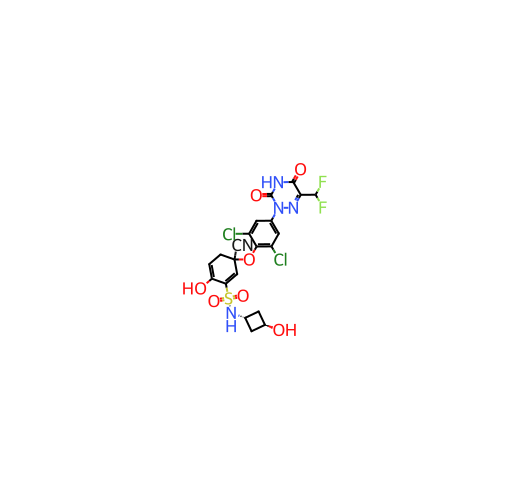 N#CC1(Oc2c(Cl)cc(-n3nc(C(F)F)c(=O)[nH]c3=O)cc2Cl)C=C(S(=O)(=O)N[C@H]2C[C@H](O)C2)C(O)=CC1